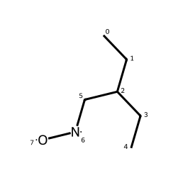 CCC(CC)C[N][O]